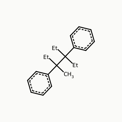 CCC(C)(c1ccccc1)C(CC)(CC)c1ccccc1